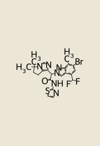 Cc1c(Br)cc(C(F)F)c2cn(C(C(=O)Nc3nccs3)c3ncn4c3CCC4(C)C)nc12